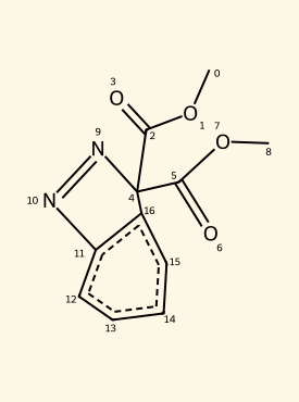 COC(=O)C1(C(=O)OC)N=Nc2ccccc21